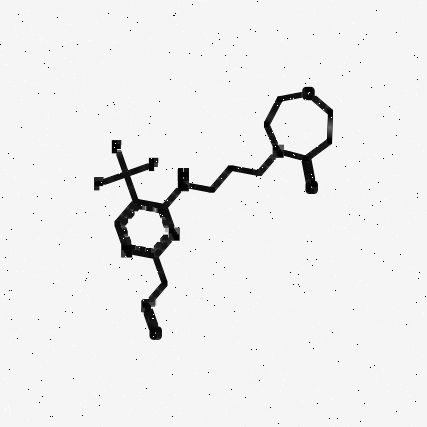 O=[S+]Cc1ncc(C(F)(F)F)c(NCCCN2CCOCCC2=O)n1